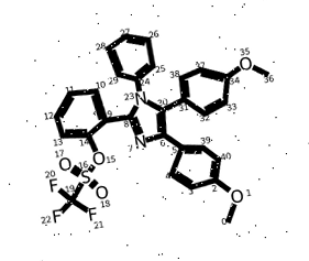 COc1ccc(-c2nc(-c3ccccc3OS(=O)(=O)C(F)(F)F)n(-c3ccccc3)c2-c2ccc(OC)cc2)cc1